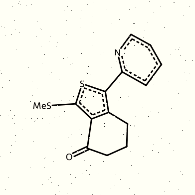 CSc1sc(-c2ccccn2)c2c1C(=O)CCC2